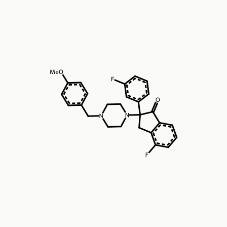 COc1ccc(CN2CCN(C3(c4cccc(F)c4)Cc4c(F)cccc4C3=O)CC2)cc1